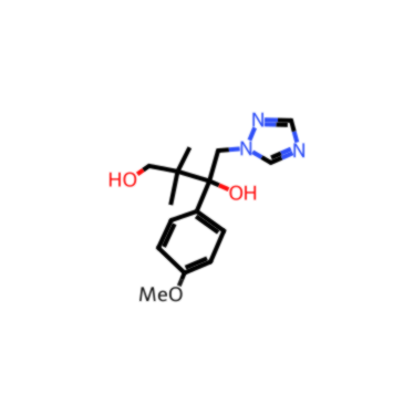 COc1ccc(C(O)(Cn2cncn2)C(C)(C)CO)cc1